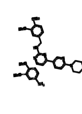 COc1ccc(CNc2nccc(-c3ccc(N4CCNCC4)nc3)n2)cc1OC.COc1ccc(N)cc1OC